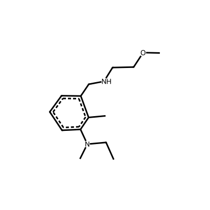 CCN(C)c1cccc(CNCCOC)c1C